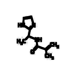 C=C(C)C(=O)NC(C)c1ncc[nH]1